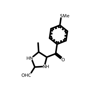 CSc1ccc(C(=O)C2NC(C=O)NC2C)cc1